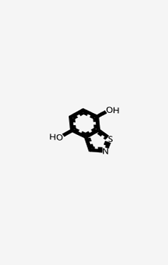 Oc1ccc(O)c2sncc12